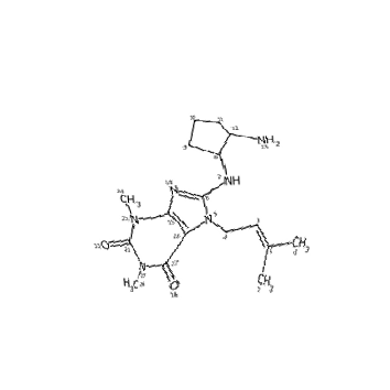 CC(C)=CCn1c(NC2CCCC2N)nc2c1c(=O)n(C)c(=O)n2C